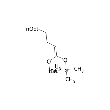 CCCCCCCCCC/C=C(\OC(C)(C)C)O[Si](C)(C)C